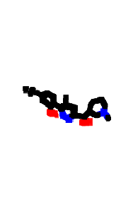 Cc1cc(C(O)C2CCCCN(C)C2)nnc1-c1ccc(C(F)(F)F)cc1O